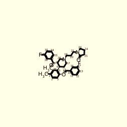 Cc1cccc([C@@H]2[C@@H](C(=O)c3cccc(F)c3)CN(CCCN3CCCC3=O)C[C@H]2C(=O)c2cccc(F)c2)c1C